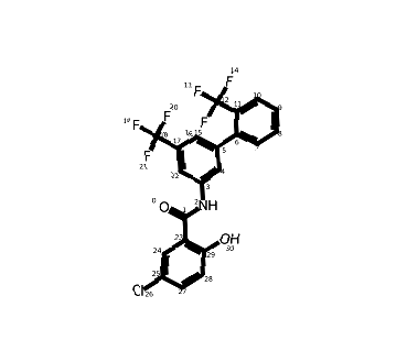 O=C(Nc1cc(-c2ccccc2C(F)(F)F)cc(C(F)(F)F)c1)c1cc(Cl)ccc1O